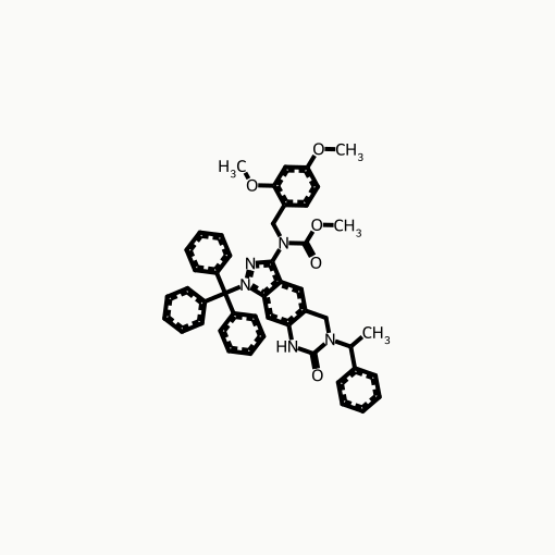 COC(=O)N(Cc1ccc(OC)cc1OC)c1nn(C(c2ccccc2)(c2ccccc2)c2ccccc2)c2cc3c(cc12)CN(C(C)c1ccccc1)C(=O)N3